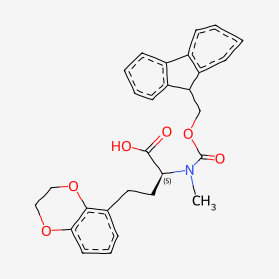 CN(C(=O)OCC1c2ccccc2-c2ccccc21)[C@@H](CCc1cccc2c1OCCO2)C(=O)O